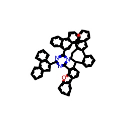 c1ccc2c(c1)-c1cc3ccccc3cc1CCC2c1ccc2c(oc3ccccc32)c1-c1nc(-c2cc3ccccc3c3ccccc23)nc(-c2cc3ccccc3c3ccccc23)n1